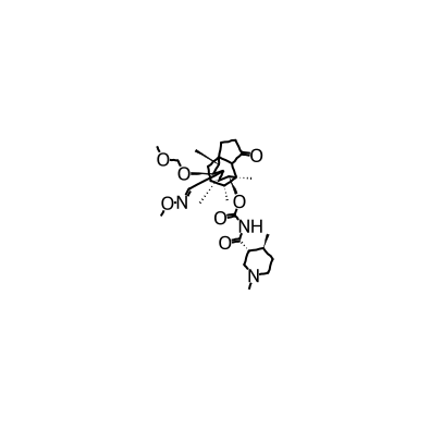 COCO[C@H]1[C@H](C)C23CCC(=O)C2[C@@](C)([C@H](C)CC3)[C@H](OC(=O)NC(=O)[C@H]2CN(C)CC[C@@H]2C)C[C@@]1(C)C=NOC